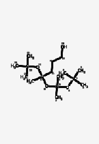 C[Si](C)(C)O[Si](C)(C)O[Si](C)(CCCO)O[Si](C)(C)C